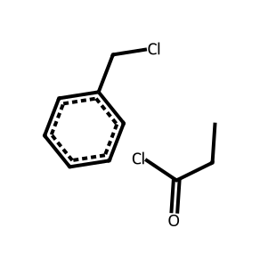 CCC(=O)Cl.ClCc1ccccc1